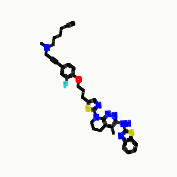 C#CCCCCN(C)CC#Cc1ccc(OCCCc2cnc(N3CCCc4c3nnc(Nc3nc5ccccc5s3)c4C)s2)c(F)c1